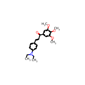 CCN(CC)c1ccc(C=CC(=O)c2cc(OC)c(OC)c(OC)c2)cc1